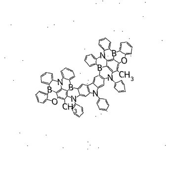 Cc1c2c3c4c5c1N(c1ccccc1)c1cc6c(cc1B5c1ccccc1N4c1ccccc1B3c1ccccc1O2)c1cc2c(cc1n6-c1ccccc1)N(c1ccccc1)c1c(C)c3c4c5c1B2c1ccccc1N5c1ccccc1B4c1ccccc1O3